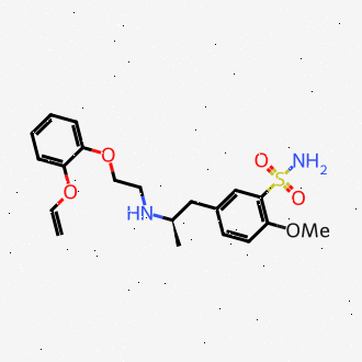 C=COc1ccccc1OCCN[C@H](C)Cc1ccc(OC)c(S(N)(=O)=O)c1